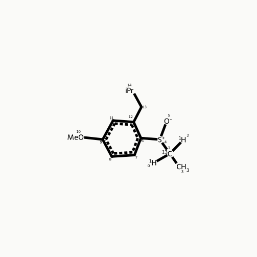 [1H][13C]([1H])(C)[S+]([O-])c1ccc(OC)cc1CC(C)C